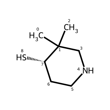 CC1(C)CNCC[C@@H]1S